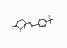 O=C1CCC(C=Cc2ccc(C(F)(F)F)cc2)=NN1